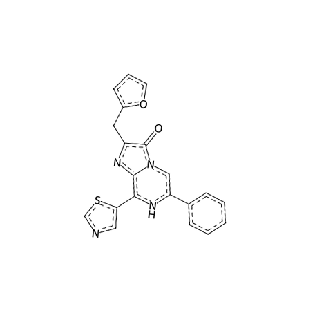 O=c1c(Cc2ccco2)nc2c(-c3cncs3)[nH]c(-c3ccccc3)cn1-2